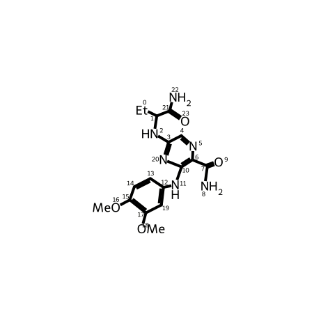 CCC(Nc1cnc(C(N)=O)c(Nc2ccc(OC)c(OC)c2)n1)C(N)=O